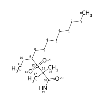 CCCCCCCCCC(CC)S(=O)(=O)C(C)(C)C([NH])=O